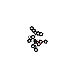 c1ccc(-c2ccc(-c3nc(-c4cc(-n5c6cc7ccccc7cc6c6cc7ccccc7cc65)cc5oc6ccccc6c45)nc(-c4cccc5c6ccccc6n(-c6ccccc6)c45)n3)cc2)cc1